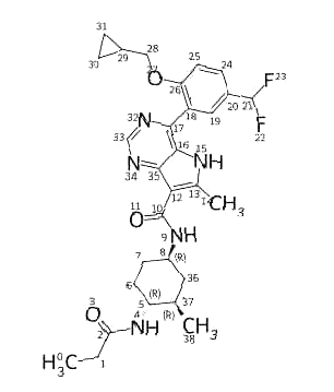 CCC(=O)N[C@@H]1CC[C@@H](NC(=O)c2c(C)[nH]c3c(-c4cc(C(F)F)ccc4OCC4CC4)ncnc23)C[C@H]1C